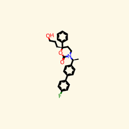 C[C@@H](c1ccc(-c2ccc(F)cc2)cc1)N1CC[C@@](CCCO)(c2ccccc2)OC1=O